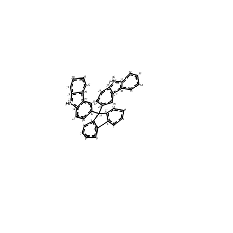 c1ccc2c(c1)-c1ccccc1C2(c1ccc2[nH]c3ccccc3c2c1)c1ccc2[nH]c3ccccc3c2c1